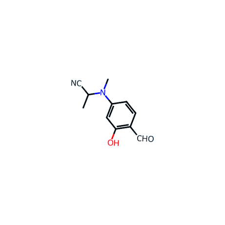 CC(C#N)N(C)c1ccc(C=O)c(O)c1